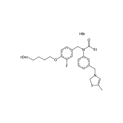 Br.CCCCCCCCCCCCCCOc1ccc(CN(C(=O)CC)c2cccc(CN3C=C(C)SC3)c2)cc1F